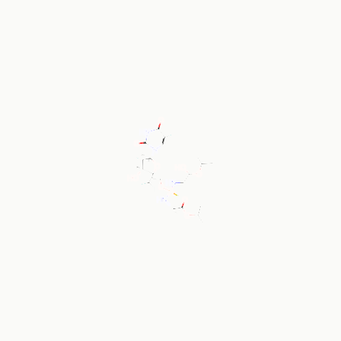 CC(C)OC(=O)[C@H](C)NP(=S)(N[C@@H](C)C(O)OC(C)C)OC[C@@]1(C(F)F)O[C@@H](n2cc(F)c(=O)[nH]c2=O)[C@H](F)[C@@H]1O